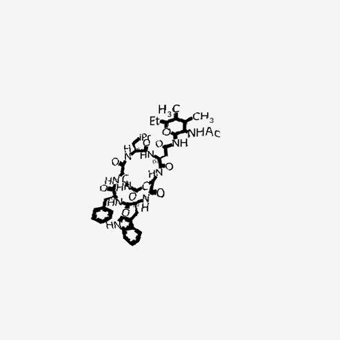 CCC1OC(NC(=O)C[C@@H]2NC(=O)[C@H](CC(C)C)NC(=O)C3CNC(=O)CC(NC2=O)C(=O)N[C@@H](Cc2c[nH]c4ccccc24)C(=O)N[C@@H](Cc2ccccc2)C(=O)N3)C(NC(C)=O)C(C)C1C